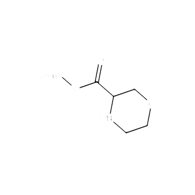 CCCCCOC(=O)C1COCCN1